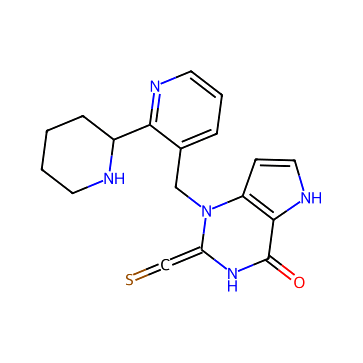 O=C1NC(=C=S)N(Cc2cccnc2C2CCCCN2)c2cc[nH]c21